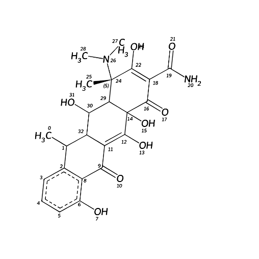 CC1c2cccc(O)c2C(=O)C2=C(O)C3(O)C(=O)C(C(N)=O)=C(O)[C@@](C)(N(C)C)C3C(O)C21